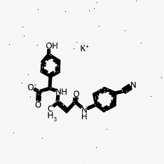 CC(=CC(=O)Nc1ccc(C#N)cc1)NC(C(=O)[O-])c1ccc(O)cc1.[K+]